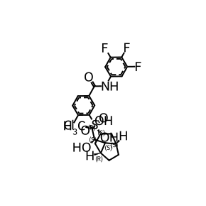 C[C@@H](O)[C@H](O)[C@@]1(O)[C@@H]2CC[C@H]1C[C@H](S(=O)(=O)c1cc(C(=O)Nc3cc(F)c(F)c(F)c3)ccc1Cl)C2